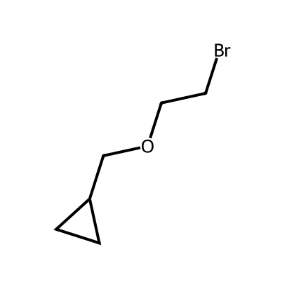 BrCCOCC1CC1